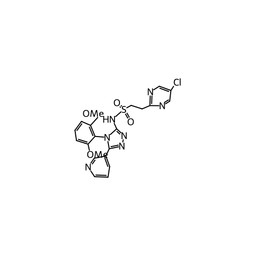 COc1cccc(OC)c1-n1c(NS(=O)(=O)CCc2ncc(Cl)cn2)nnc1-c1cccnc1